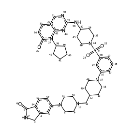 O=C1NCc2cc(N3CCN(CC4CCN(c5cccc(S(=O)(=O)N6CCC(Nc7ncc8ccc(=O)n(C9CCCC9)c8n7)CC6)c5)CC4)CC3)ccc21